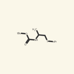 CCCSCC(C)NC(=O)OC(C)(C)C